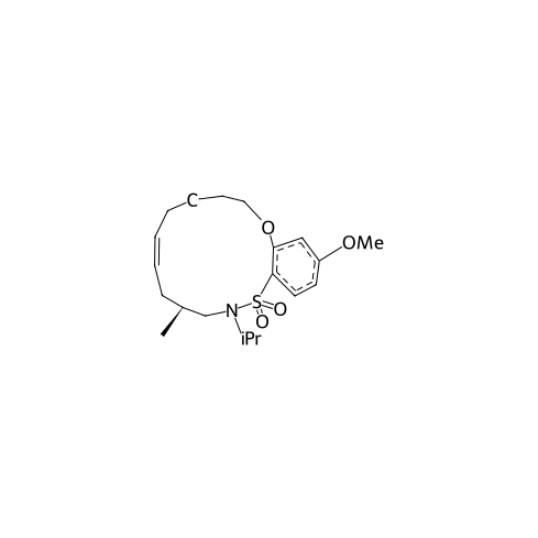 COc1ccc2c(c1)OCCCC/C=C\C[C@H](C)CN(C(C)C)S2(=O)=O